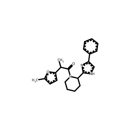 Cc1ccc(C(C)C(=O)N2CCCCC2c2nc(-c3ccccc3)c[nH]2)o1